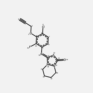 C#CCOc1c(Cl)ccc(/N=c2\sc(=O)n3n2CCCC3)c1F